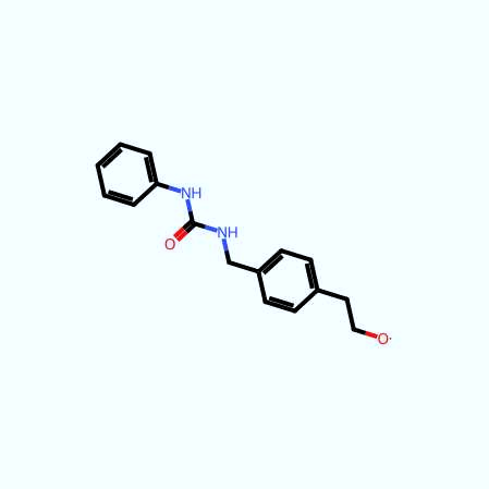 [O]CCc1ccc(CNC(=O)Nc2ccccc2)cc1